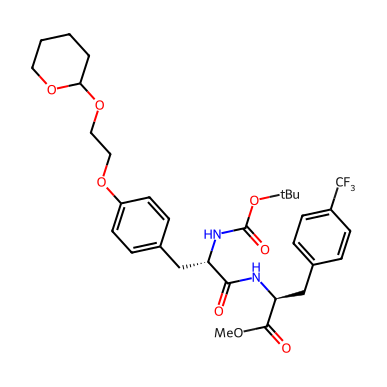 COC(=O)[C@H](Cc1ccc(C(F)(F)F)cc1)NC(=O)[C@H](Cc1ccc(OCCOC2CCCCO2)cc1)NC(=O)OC(C)(C)C